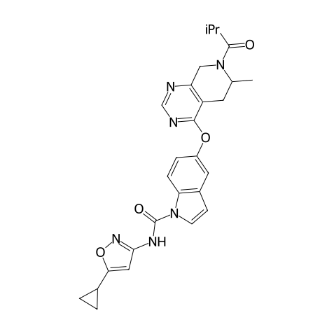 CC(C)C(=O)N1Cc2ncnc(Oc3ccc4c(ccn4C(=O)Nc4cc(C5CC5)on4)c3)c2CC1C